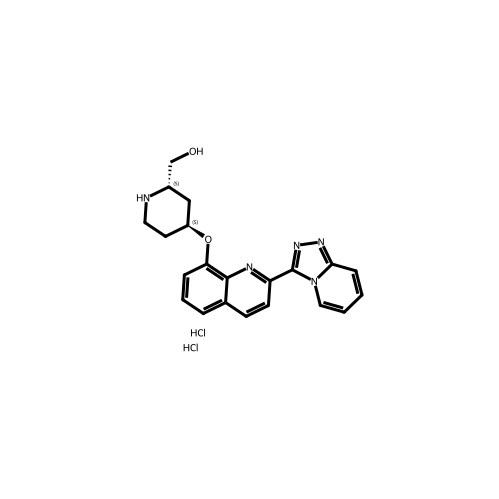 Cl.Cl.OC[C@@H]1C[C@@H](Oc2cccc3ccc(-c4nnc5ccccn45)nc23)CCN1